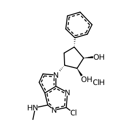 CNc1nc(Cl)nc2c1ccn2[C@@H]1C[C@H](c2ccccc2)[C@@H](O)[C@H]1O.Cl